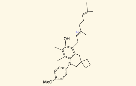 COc1ccc(N2CC3(CCC3)Cc3c(C/C=C(\C)CCC=C(C)C)c(O)c(C)c(C)c32)cc1